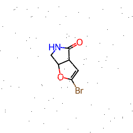 O=C1NCC2OC(Br)=CC12